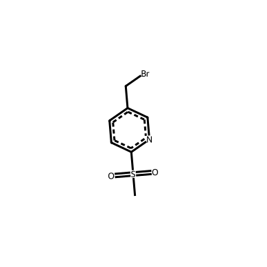 CS(=O)(=O)c1ccc(CBr)cn1